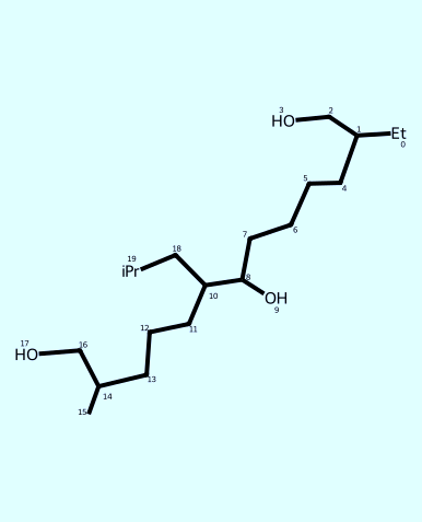 CCC(CO)CCCCC(O)C(CCCC(C)CO)CC(C)C